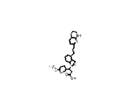 COc1ccc(C(CC(=O)O)n2ncc3c(CCCc4ccc5c(n4)NCCC5)cccc32)cn1